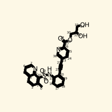 Cc1ccc2cccnc2c1S(=O)(=O)Nc1ccccc1C#Cc1ccc(C(=O)OCC(O)CO)nc1